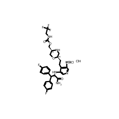 Cl.Cl.Cl.NC(=O)[C@@H](Nc1cncc(F)c1CC[C@@H]1CN[C@H](COC(=O)NCC(F)(F)F)CO1)C(c1ccc(F)cc1)c1ccc(F)cc1